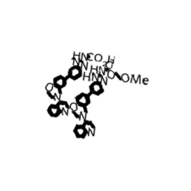 COCCOC(=O)Nc1nc2ccc(-c3ccc4c(c3)CN(c3ccnc5ccccc35)CCO4)cc2[nH]1.Cn1c(NC(=O)O)nc2ccc(-c3ccc4c(c3)CN(c3ccnc5ccccc35)CCO4)cc21